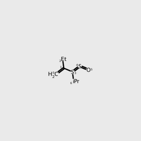 C=C(CC)S(=S=O)C(C)C